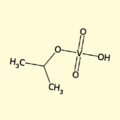 CC(C)[O][V](=[O])(=[O])[OH]